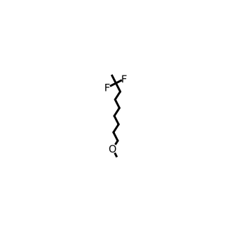 COCCCCCCCC(C)(F)F